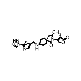 C[C@H]1C[C@]2(CC[C@@H](NCc3cnc(-n4cnnn4)s3)CC2)C(=O)N1C1=CC(=O)OC1